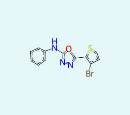 Brc1ccsc1-c1nnc(Nc2ccccc2)o1